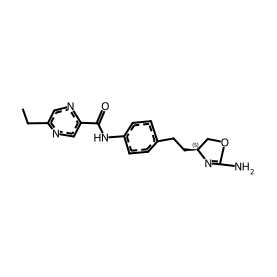 CCc1cnc(C(=O)Nc2ccc(CC[C@H]3COC(N)=N3)cc2)cn1